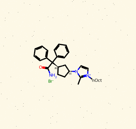 CCCCCCCC[n+]1ccn([C@H]2CC[C@@H](C(C(N)=O)(c3ccccc3)c3ccccc3)C2)c1C.[Br-]